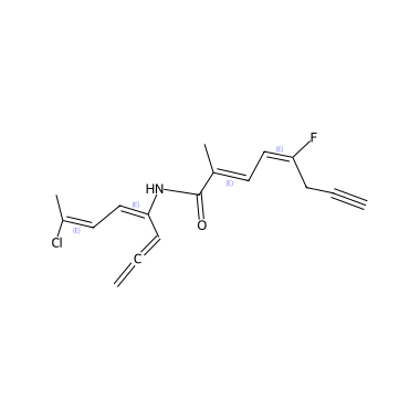 C#CC/C(F)=C\C=C(/C)C(=O)N/C(C=C=C)=C/C=C(\C)Cl